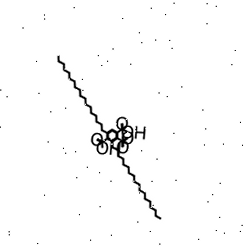 CCCCCCCCCCCCCCCCCCc1cc(C(=O)O)c(I(=O)=O)c(CCCCCCCCCCCCCCCCCC)c1C(=O)O